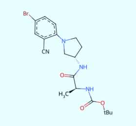 C[C@H](NC(=O)OC(C)(C)C)C(=O)N[C@H]1CCN(c2ccc(Br)cc2C#N)C1